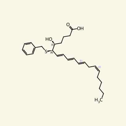 CCCCC/C=C\C/C=C/C=CC=C[C@@H](SCc1ccccc1)[C@@H](O)CCCC(=O)O